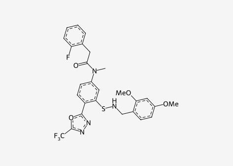 COc1ccc(CNSc2cc(N(C)C(=O)Cc3ccccc3F)ccc2-c2nnc(C(F)(F)F)o2)c(OC)c1